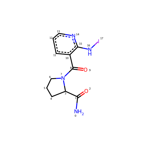 NC(=O)C1CCCN1C(=O)c1cccnc1NI